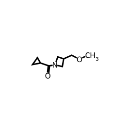 COCC1CN(C(=O)C2CC2)C1